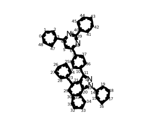 c1ccc(-c2cc(-c3ccc(-c4nn(-c5ccccc5)c5c4c(-c4ccccc4)cc4ccccc45)cc3)nc(-c3ccccc3)n2)cc1